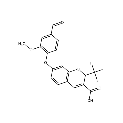 COc1cc(C=O)ccc1Oc1ccc2c(c1)OC(C(F)(F)F)C(C(=O)O)=C2